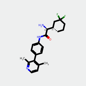 Cc1ccnc(C)c1-c1ccc(NC(=O)[C@@H](N)[C@H]2CCCC(F)(F)C2)cc1